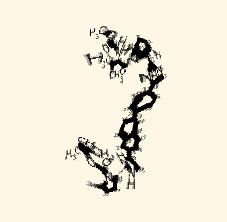 COC(=O)N[C@H](C(=O)N1[C@H]2CC[C@H](C2)[C@H]1c1ncc(-c2ccc(-c3ccc4cc(C5=CNC([C@@H]6CCCN6C(=O)OC(C)(C)C)N5)ccc4c3)cc2)[nH]1)C(C)C